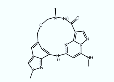 CNc1cc2nc3c(cnn13)C(=O)N[C@H](C)COCc1cc(c3nn(C)cc3c1)N2